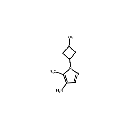 Cc1c(N)cnn1C1CC(O)C1